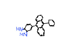 N=C1C=CC(c2c3ccccc3c(C3C=CC=CC3)c3ccccc23)=CC1=N